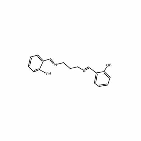 Oc1ccccc1C=NCCCN=Cc1ccccc1O